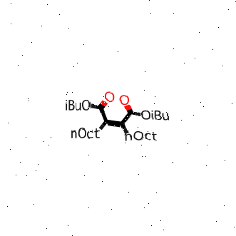 CCCCCCCC/C(C(=O)OCC(C)C)=C(\CCCCCCCC)C(=O)OCC(C)C